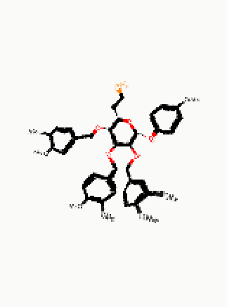 COc1ccc(O[C@H]2O[C@H](CCP)[C@@H](OCc3ccc(OC)c(OC)c3)[C@H](OCc3ccc(OC)c(OC)c3)[C@@H]2OCc2ccc(OC)c(OC)c2)cc1